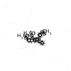 CC(=O)OCOc1c(Cc2ccc(OC(C)=O)cc2)cc2c(Cc3ccccc3)nc(-c3ccc(OC(C)=O)cc3)cn12